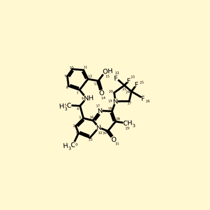 Cc1cc(C(C)Nc2ccccc2C(=O)O)c2nc(N3CC(F)(F)C(F)(F)C3)c(C)c(=O)n2c1